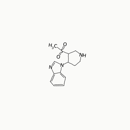 CS(=O)(=O)C1CNCCC1n1cnc2ccccc21